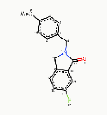 COc1ccc(CN2Cc3ccc(F)cc3C2=O)cc1